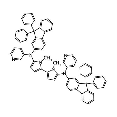 Cn1c(-c2ccc(N(c3cccnc3)c3ccc4c(c3)C(c3ccccc3)(c3ccccc3)c3ccccc3-4)n2C)ccc1N(c1cccnc1)c1ccc2c(c1)C(c1ccccc1)(c1ccccc1)c1ccccc1-2